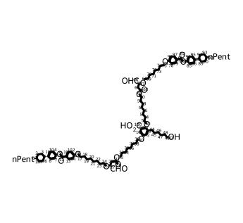 CCCCC[C@H]1CC[C@H](c2ccc(OC(=O)c3ccc(OCCCCCCCCOC(C=O)CC(=O)OCCCCCCCCOc4cc(CCCCCCO)c(OCCCCCCCCOC(=O)CC(C=O)OCCCCCCCCOc5ccc(C(=O)Oc6ccc([C@H]7CC[C@H](CCCCC)CC7)cc6)cc5)c(C(=O)O)c4)cc3)cc2)CC1